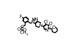 CS(=O)(=O)OCc1cc(F)ccc1Cn1nnc2c1CCN(c1cnn(C3CCCCO3)c(=O)c1Cl)C2